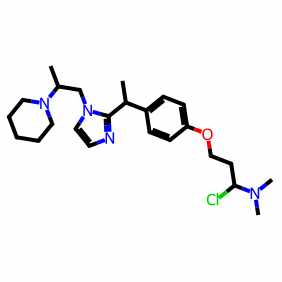 CC(c1ccc(OCCC(Cl)N(C)C)cc1)c1nccn1CC(C)N1CCCCC1